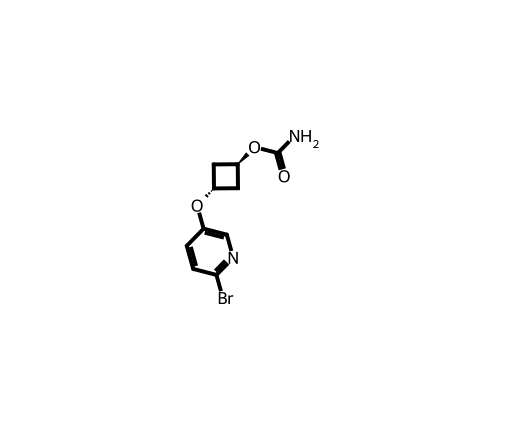 NC(=O)O[C@H]1C[C@H](Oc2ccc(Br)nc2)C1